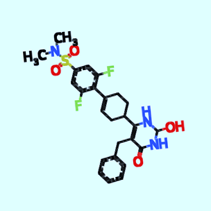 CN(C)S(=O)(=O)c1cc(F)c(C2=CCC(C3=C(Cc4ccccc4)C(=O)NC(O)N3)CC2)c(F)c1